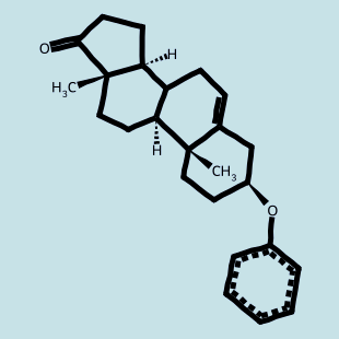 C[C@]12CC[C@H](Oc3ccccc3)CC1=CCC1[C@@H]2CC[C@]2(C)C(=O)CC[C@@H]12